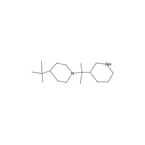 CC(C)(C)C1CCN(C(C)(C)C2CCCNC2)CC1